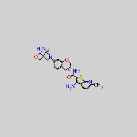 Cc1ccc2c(N)c(C(=O)N[C@H]3COc4cc(N5C[C@@H](N)C6(COC6)C5)ccc4C3)sc2n1